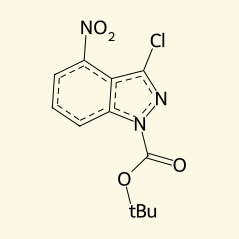 CC(C)(C)OC(=O)n1nc(Cl)c2c([N+](=O)[O-])cccc21